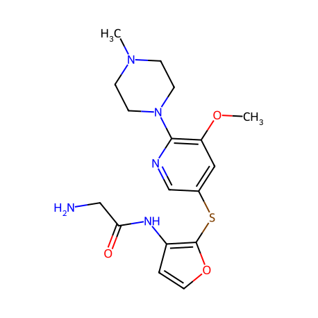 COc1cc(Sc2occc2NC(=O)CN)cnc1N1CCN(C)CC1